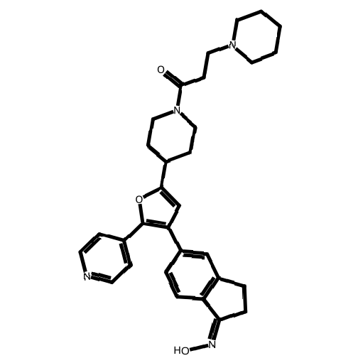 O=C(CCN1CCCCC1)N1CCC(c2cc(-c3ccc4c(c3)CC/C4=N/O)c(-c3ccncc3)o2)CC1